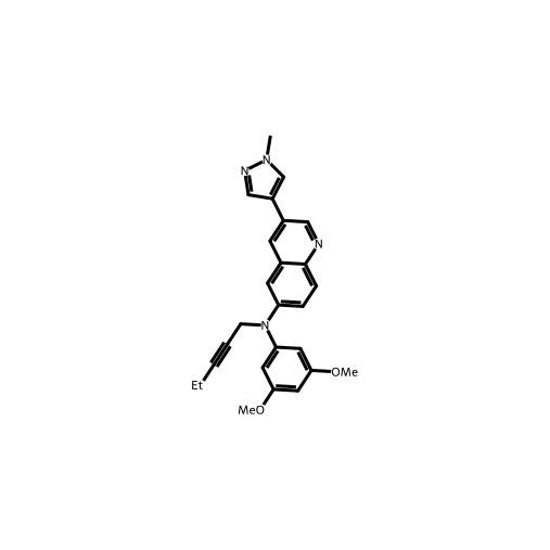 CCC#CCN(c1cc(OC)cc(OC)c1)c1ccc2ncc(-c3cnn(C)c3)cc2c1